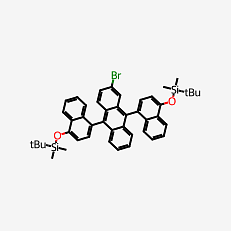 CC(C)(C)[Si](C)(C)Oc1ccc(-c2c3ccccc3c(-c3ccc(O[Si](C)(C)C(C)(C)C)c4ccccc34)c3cc(Br)ccc23)c2ccccc12